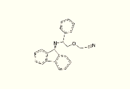 N#CCOCC(N=C1c2ccccc2-c2ccccc21)c1ccccc1